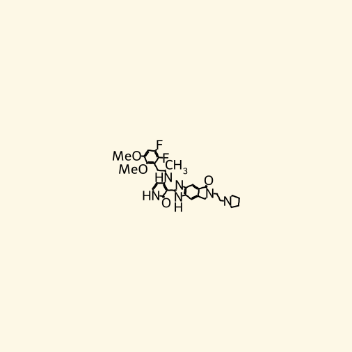 COc1cc(F)c(F)c(C[C@H](C)Nc2cc[nH]c(=O)c2-c2nc3cc4c(cc3[nH]2)CN(CCN2CCCC2)C4=O)c1OC